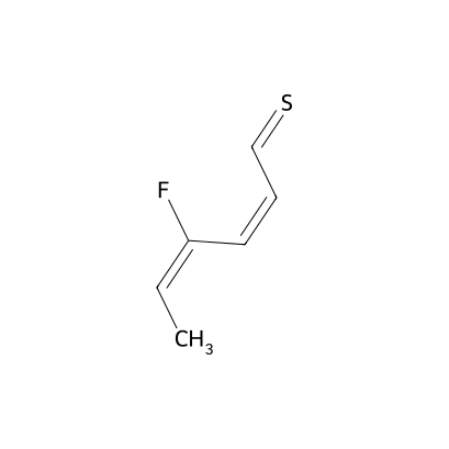 C/C=C(F)\C=C/C=S